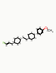 COc1ccc([C@H]2CC[C@H](CC[C@H]3CC[C@H](CC=CF)CC3)CC2)cc1